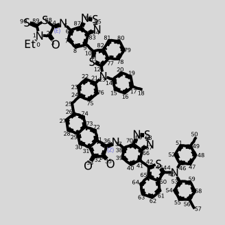 CCN1C(=O)/C(=N\c2ccc(-c3sc(N(c4ccc(C)cc4)c4ccc(Cc5ccc6cc7c(=O)c(=O)/c(=N\c8ccc(-c9sc(N(c%10ccc(C)cc%10)c%10ccc(C)cc%10)c%10ccccc9%10)c9nsnc89)c7cc6c5)cc4)c4ccccc34)c3nsnc23)SC1=S